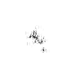 COc1cc(N=Nc2ccc(CCCOS(=O)(=O)O)cc2S(=O)(=O)O)c(NC(C)=O)cc1N=Nc1c(N)c(N=Nc2ccc(C)cc2)c(N)c(N=Nc2ccccc2)c1C(=O)O